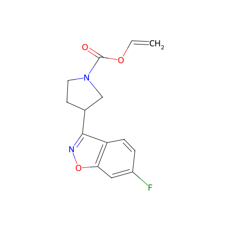 C=COC(=O)N1CCC(c2noc3cc(F)ccc23)C1